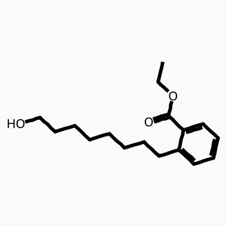 CCOC(=O)c1ccccc1CCCCCCCCO